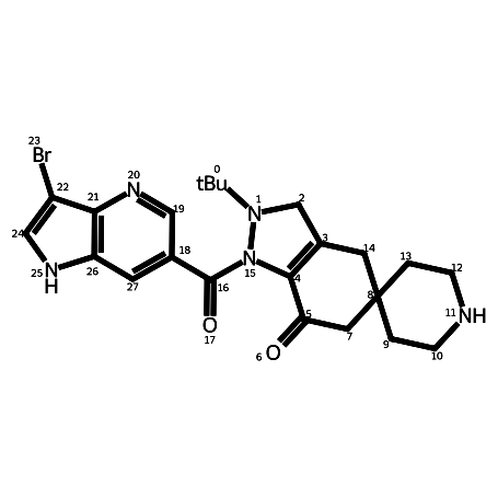 CC(C)(C)N1CC2=C(C(=O)CC3(CCNCC3)C2)N1C(=O)c1cnc2c(Br)c[nH]c2c1